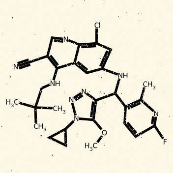 COc1c(C(Nc2cc(Cl)c3ncc(C#N)c(NCC(C)(C)C)c3c2)c2ccc(F)nc2C)nnn1C1CC1